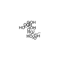 CCCCC(O)(CCCC)C(O)(CCCC)C(O)C(C)=O.O=C(O)CC(O)(CC(=O)O)C(=O)O